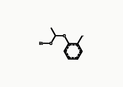 [CH2]c1ccccc1OC(C)OCC